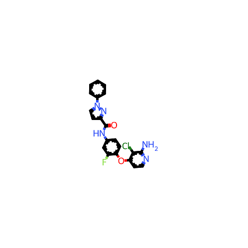 Nc1nccc(Oc2ccc(NC(=O)c3ccn(-c4ccccc4)n3)cc2F)c1Cl